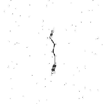 C#CCCC[S+]=O